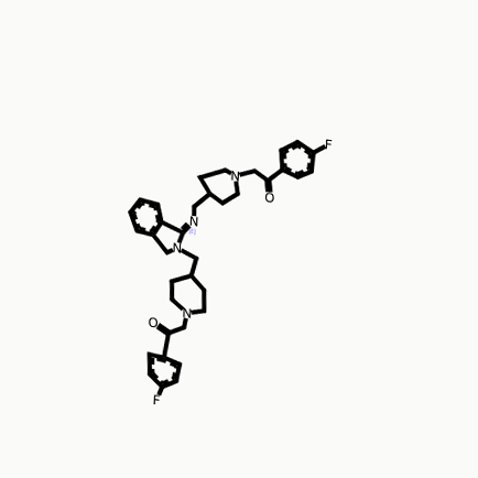 O=C(CN1CCC(C/N=C2\c3ccccc3CN2CC2CCN(CC(=O)c3ccc(F)cc3)CC2)CC1)c1ccc(F)cc1